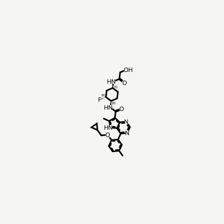 Cc1ccc(OCC2CC2)c(-c2ncnc3c(C(=O)N[C@@H]4CC[C@H](NC(=O)CO)C[C@H]4F)c(C)[nH]c23)c1